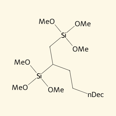 CCCCCCCCCCCCC(C[Si](OC)(OC)OC)[Si](OC)(OC)OC